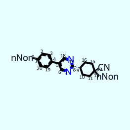 CCCCCCCCCc1ccc(-c2cnc([C@H]3CC[C@@](C#N)(CCCCCCCCC)CC3)nc2)cc1